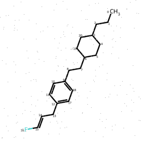 CCCC1CCC(CCc2ccc(C/C=C/F)cc2)CC1